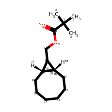 CC(C)(C)C(=O)OCC1[C@H]2CCCCCC[C@@H]12